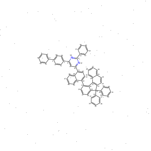 c1ccc(-c2ccc(-c3cc(-c4ccc(-c5cccc6c5-c5c(ccc7ccccc57)C6(c5ccccc5)c5ccccc5)c5ccccc45)nc(-c4ccccc4)n3)cc2)cc1